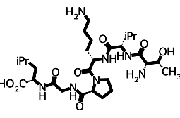 CC(C)C[C@H](NC(=O)CNC(=O)[C@@H]1CCCN1C(=O)[C@H](CCCCN)NC(=O)[C@@H](NC(=O)[C@@H](N)[C@@H](C)O)C(C)C)C(=O)O